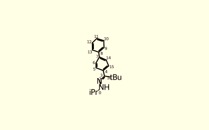 CC(C)N/N=C(/c1ccc(-c2ccccc2)cc1)C(C)(C)C